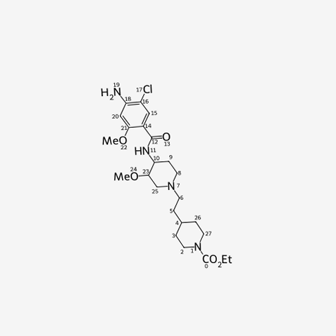 CCOC(=O)N1CCC(CCN2CCC(NC(=O)c3cc(Cl)c(N)cc3OC)C(OC)C2)CC1